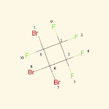 FC1(F)C(F)(F)C(Br)(Br)C1(F)Br